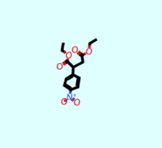 CCOC(=O)CC(C(=O)OCC)c1ccc([N+](=O)[O-])cc1